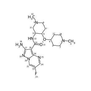 CN1CCC(OC2CCN(C)CC2NC(=O)c2c(N)nn3cc(F)cnc23)CC1